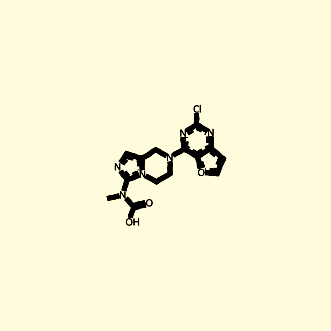 CN(C(=O)O)c1ncc2n1CCN(c1nc(Cl)nc3ccoc13)C2